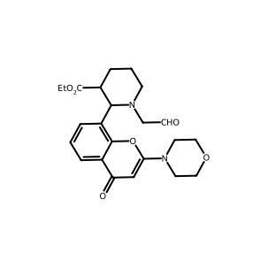 CCOC(=O)C1CCCN(CC=O)C1c1cccc2c(=O)cc(N3CCOCC3)oc12